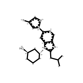 CC(C)Cc1nc2cnc(-n3cc(F)cn3)cc2n1[C@@H]1CCC[C@@H](O)C1